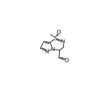 CS1(=O)=NCC(C=O)n2nccc21